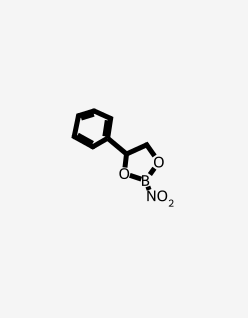 O=[N+]([O-])B1OCC(c2ccccc2)O1